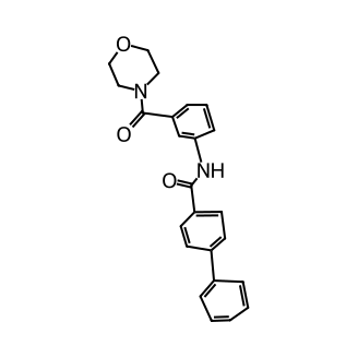 O=C(Nc1cccc(C(=O)N2CCOCC2)c1)c1ccc(-c2ccccc2)cc1